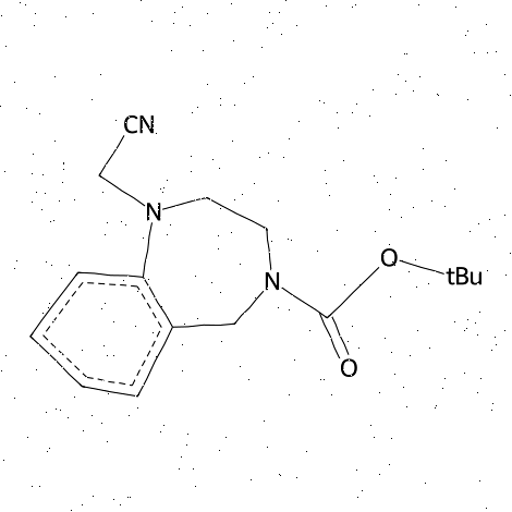 CC(C)(C)OC(=O)N1CCN(CC#N)c2ccccc2C1